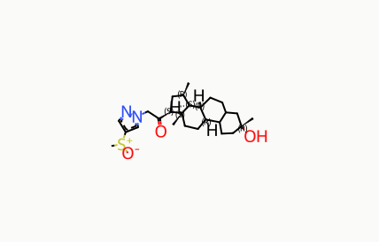 C[C@@H]1C[C@H](C(=O)Cn2cc([S+](C)[O-])cn2)[C@@]2(C)CC[C@@H]3C4CC[C@@](C)(O)CC4CC[C@H]3[C@H]12